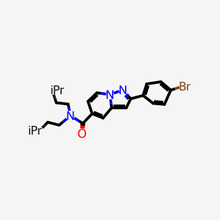 CC(C)CCN(CCC(C)C)C(=O)c1ccn2nc(-c3ccc(Br)cc3)cc2c1